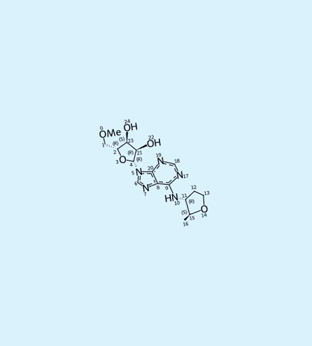 COC[C@H]1O[C@@H](n2cnc3c(N[C@@H]4CCO[C@H]4C)ncnc32)[C@H](O)[C@@H]1O